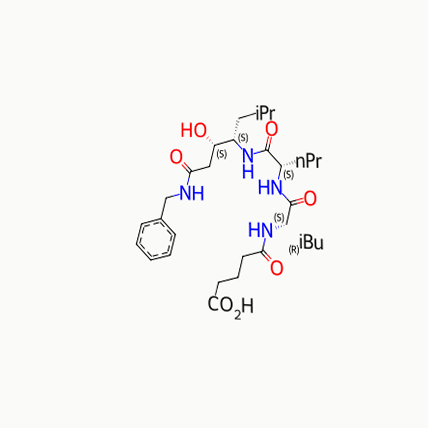 CCC[C@H](NC(=O)[C@@H](NC(=O)CCCC(=O)O)[C@H](C)CC)C(=O)N[C@@H](CC(C)C)[C@@H](O)CC(=O)NCc1ccccc1